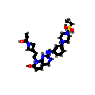 C=CC(=O)N1CC(CCn2c(=O)ccc3cnc(Nc4cccc(N5CCN(S(=O)(=O)CC#N)CC5)c4)nc32)C1